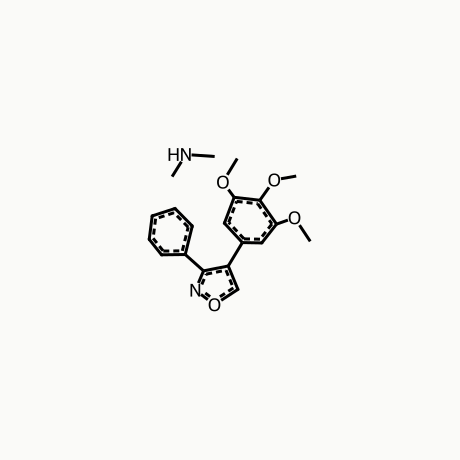 CNC.COc1cc(-c2conc2-c2ccccc2)cc(OC)c1OC